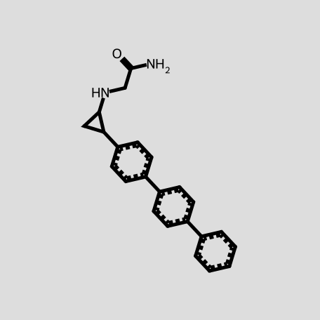 NC(=O)CNC1CC1c1ccc(-c2ccc(-c3ccccc3)cc2)cc1